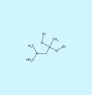 CCO[Si](C)(CN(C)C(=O)O)OCC